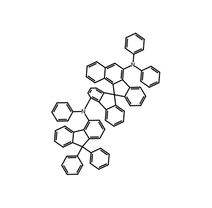 c1ccc(N(c2ccccc2)c2cc3ccccc3c3c2-c2ccccc2C32c3ccccc3-c3c(N(c4ccccc4)c4cccc5c4-c4ccccc4C5(c4ccccc4)c4ccccc4)cccc32)cc1